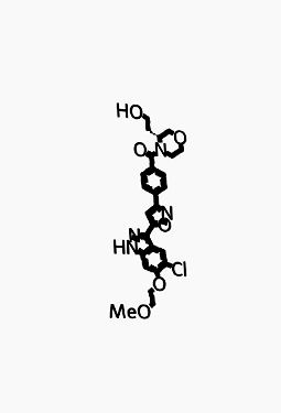 COCCOc1cc2[nH]nc(-c3cc(-c4ccc(C(=O)N5CCOC[C@H]5CCO)cc4)no3)c2cc1Cl